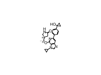 C[C@@H](Oc1nc(-c2ccc(C3(O)CC3)cc2)cc2ncn(C3CC3)c12)[C@H]1CNC(=O)C1